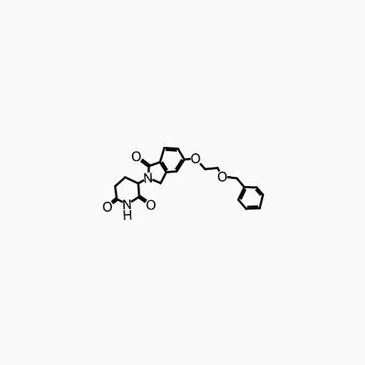 O=C1CCC(N2Cc3cc(OCCOCc4ccccc4)ccc3C2=O)C(=O)N1